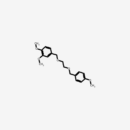 COc1ccc(CO[CH]COCc2ccc(OC)c(OC)c2)cc1